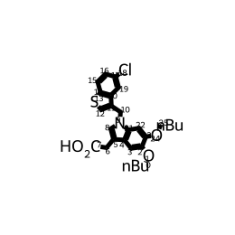 CCCCOc1cc2c(CC(=O)O)cn(Cc3csc4ccc(Cl)cc34)c2cc1OCCCC